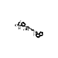 O=C1CSc2ccc(N3C[C@@H](CCCNCc4cccc5ccccc45)OC3=O)cc2N1